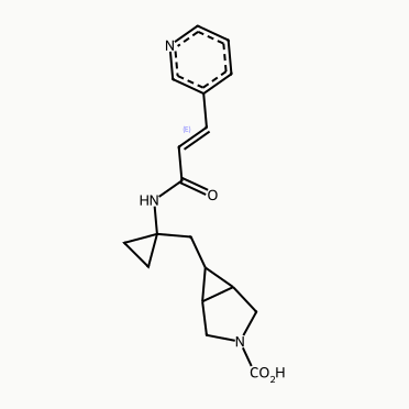 O=C(/C=C/c1cccnc1)NC1(CC2C3CN(C(=O)O)CC32)CC1